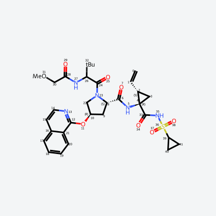 C=C[C@@H]1C[C@]1(NC(=O)[C@@H]1C[C@@H](Oc2nccc3ccccc23)CN1C(=O)C(NC(=O)COC)C(C)(C)C)C(=O)NS(=O)(=O)C1CC1